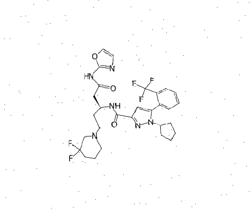 O=C(C[C@H](CCN1CCCC(F)(F)C1)NC(=O)c1cc(-c2ccccc2C(F)(F)F)n(C2CCCC2)n1)Nc1ncco1